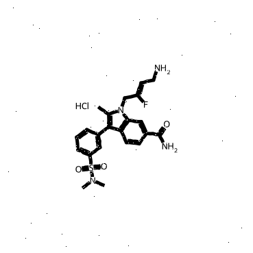 Cc1c(-c2cccc(S(=O)(=O)N(C)C)c2)c2ccc(C(N)=O)cc2n1CC(F)=CCN.Cl